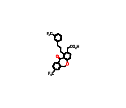 O=C(O)Cc1ccc2c(c1CCCc1cccc(C(F)(F)F)c1)C(=O)c1ccc(C(F)(F)F)cc1CO2